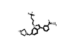 NC(=S)c1cccc(-c2cn(CCCC(F)(F)F)c3cc(CN4CCNCC4)ccc23)c1